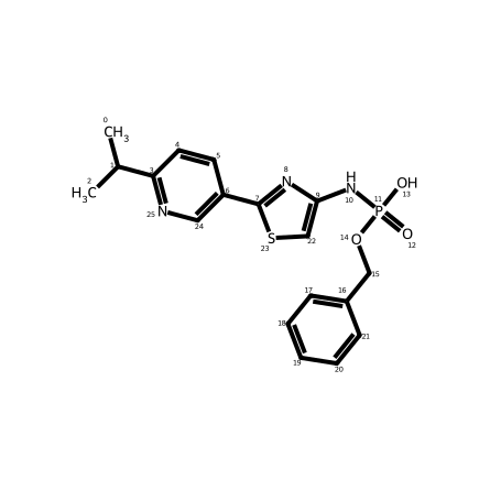 CC(C)c1ccc(-c2nc(NP(=O)(O)OCc3ccccc3)cs2)cn1